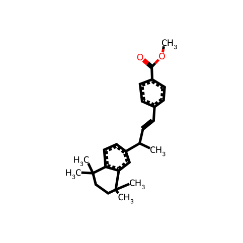 COC(=O)c1ccc(/C=C/C(C)c2ccc3c(c2)C(C)(C)CCC3(C)C)cc1